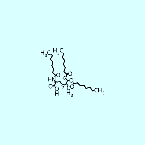 CCCCCCCC(=O)N[C@@H](CSC(C)C(OC(=O)CCCCCCC)OC(=O)CCCCCCC)C(=O)O